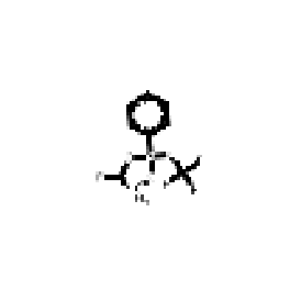 CO[Si](OC(F)F)(OC(F)(F)F)c1ccccc1